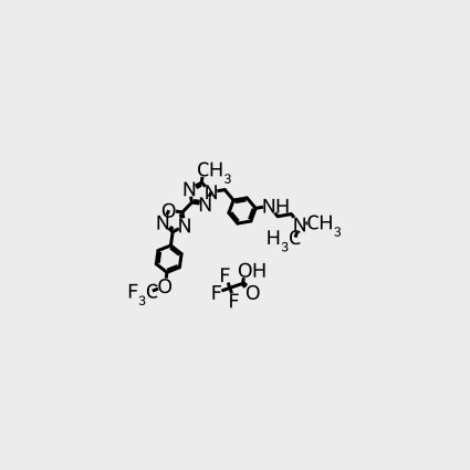 Cc1nc(-c2nc(-c3ccc(OC(F)(F)F)cc3)no2)nn1Cc1cccc(NCCN(C)C)c1.O=C(O)C(F)(F)F